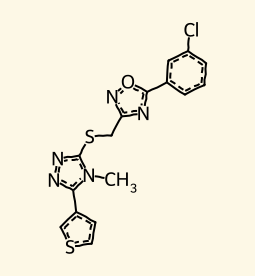 Cn1c(SCc2noc(-c3cccc(Cl)c3)n2)nnc1-c1ccsc1